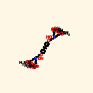 C[SiH2]O[Si](CCCN(CCCS(=O)(=O)O)CC(O)COc1ccc(C(C)(C)c2ccc(OCC(O)CN(CCC[Si](O[SiH3])(O[SiH3])O[SiH2]C)CCCS(=O)(=O)O)cc2)cc1)(O[SiH3])O[SiH3]